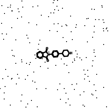 O=C1c2ccccc2C(=O)N1c1ccc(C2CCNCC2)cc1